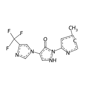 Cc1ccnc(-n2[nH]cc(-n3cnc(C(F)(F)F)c3)c2=O)c1